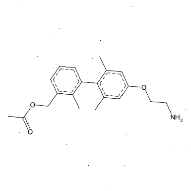 CC(=O)OCc1cccc(-c2c(C)cc(OCCN)cc2C)c1C